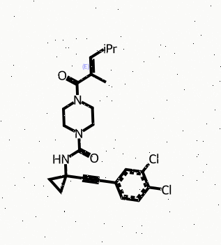 C/C(=C\C(C)C)C(=O)N1CCN(C(=O)NC2(C#Cc3ccc(Cl)c(Cl)c3)CC2)CC1